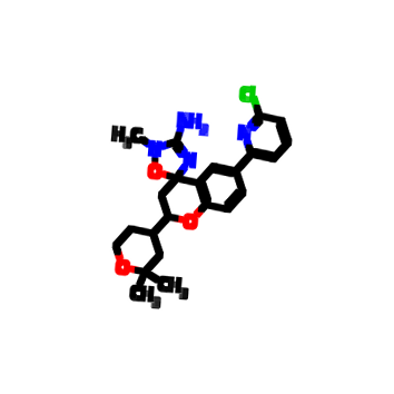 CN1OC2(CC(C3CCOC(C)(C)C3)Oc3ccc(-c4cccc(Cl)n4)cc32)N=C1N